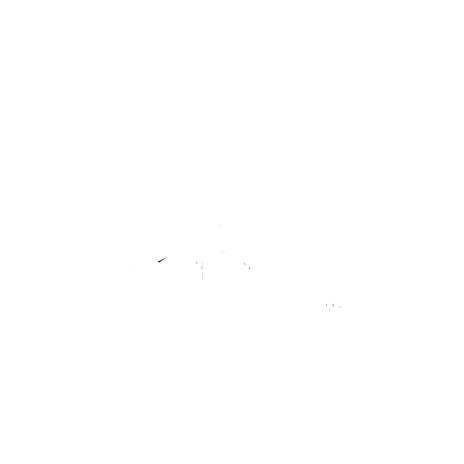 CO[C@@H]1CCN(C(=O)N[C@@H](C)/C=C/S(C)(=O)=O)[C@H](c2ccccc2)C1